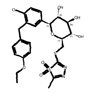 CCOc1ccc(Cc2cc([C@@H]3O[C@H](CSC4=NN=C(C)S4(=O)=O)[C@@H](O)[C@H](O)[C@H]3O)ccc2Cl)cc1